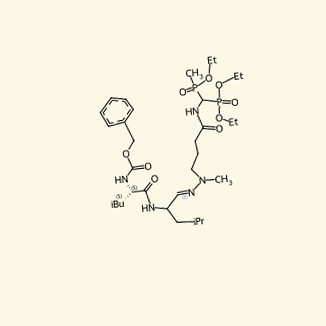 CCOP(C)(=O)C(NC(=O)CCCN(C)/N=C/C(CC(C)C)NC(=O)[C@@H](NC(=O)OCc1ccccc1)[C@@H](C)CC)P(=O)(OCC)OCC